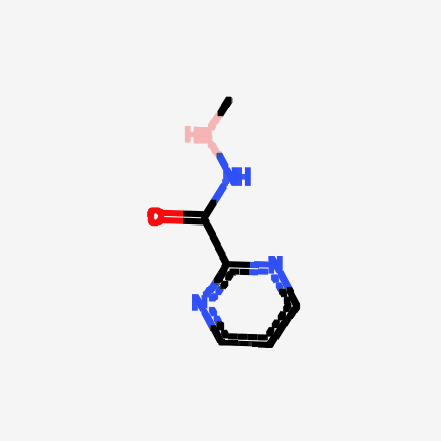 CBNC(=O)c1ncccn1